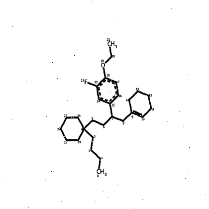 CCCCC1(CCC(CC2=CCCCC2)c2ccc(OCC)c(F)c2)CCCCC1